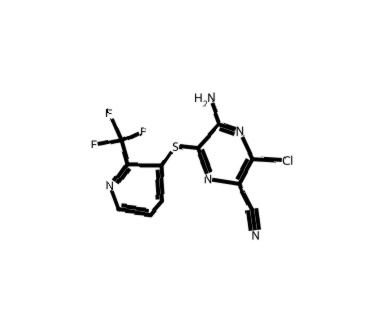 N#Cc1nc(Sc2cccnc2C(F)(F)F)c(N)nc1Cl